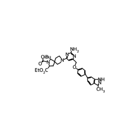 CCOC(=O)C1CC2(CCN(c3cc(COc4ccc(-c5ccc6c(C)n[nH]c6c5)cc4)nc(N)n3)CC2)CN1C(=O)OCC(C)C